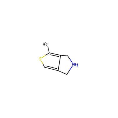 CC(C)c1scc2c1CNC2